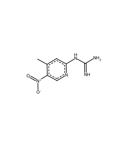 Cc1cc(NC(=N)N)ncc1[N+](=O)[O-]